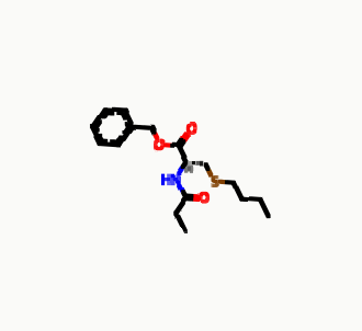 CCCCSC[C@H](NC(=O)CC)C(=O)OCc1ccccc1